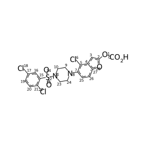 O=C(O)Oc1cc2c(Cl)c(N3CCN(S(=O)(=O)c4cc(Cl)ccc4Cl)CC3)ccc2o1